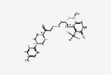 COC[C@@H](COCCC(=O)N1CCN(c2ncc(Cl)cn2)CC1)Nc1cn[nH]c(=O)c1C(F)(F)F